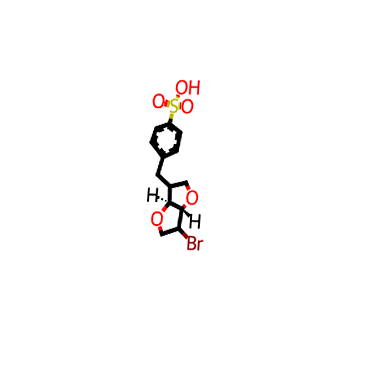 O=S(=O)(O)c1ccc(CC2CO[C@@H]3C(Br)CO[C@@H]23)cc1